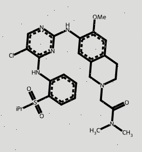 COc1cc2c(cc1Nc1ncc(Cl)c(Nc3ccccc3S(=O)(=O)C(C)C)n1)CN(CC(=O)N(C)C)CC2